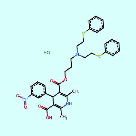 CC1=C(C(=O)O)C(c2cccc([N+](=O)[O-])c2)C(C(=O)OCCCN(CCSc2ccccc2)CCSc2ccccc2)=C(C)N1.Cl